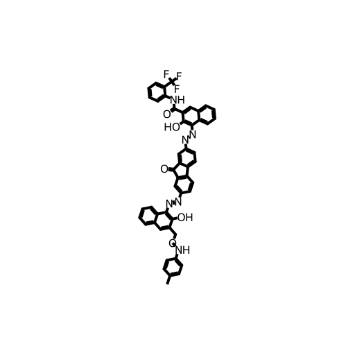 Cc1ccc(NOCc2cc3ccccc3c(N=Nc3ccc4c(c3)C(=O)c3cc(N=Nc5c(O)c(C(=O)Nc6ccccc6C(F)(F)F)cc6ccccc56)ccc3-4)c2O)cc1